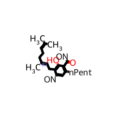 CCCCCc1cc(N=O)c(C/C=C(\C)CCC=C(C)C)c(O)c1C(=O)N=O